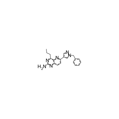 CCCc1nc(N)nc2ccc(-c3cnn(Cc4ccccc4)c3)nc12